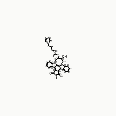 O=C(NCCCn1ccnc1)OC1Cn2c3ccccc3c3c4c(c5c6ccccc6n(c5c32)CC1O)C(=O)NC4=O